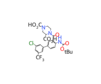 CC(C)(C)OC(=O)Nc1ccc(-c2cc(Cl)cc(C(F)(F)F)c2)cc1C(=O)N1CCN(C(=O)O)CC1C(=O)O